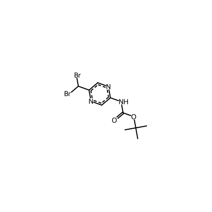 CC(C)(C)OC(=O)Nc1cnc(C(Br)Br)cn1